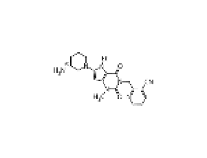 CCn1c(N2CCC[C@@H](N)C2)cc2c1c(=O)n(Cc1ncccc1C#N)c(=O)n2C